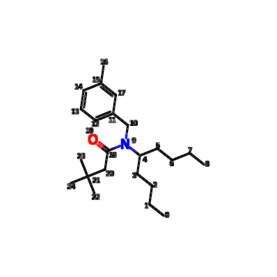 CCCCC(CCCC)N(Cc1cccc(C)c1)C(=O)CC(C)(C)C